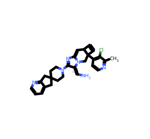 Cc1nccc(C23C#CC2C=c2nc(N4CCC5(CC4)Cc4cccnc4C5)/c(=C/N)n2C3)c1Cl